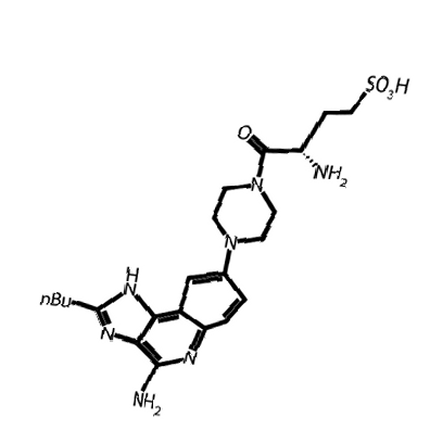 CCCCc1nc2c(N)nc3ccc(N4CCN(C(=O)[C@@H](N)CCS(=O)(=O)O)CC4)cc3c2[nH]1